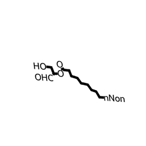 CCCCCCCCCCCCCCCCCC(=O)OC(C=O)CO